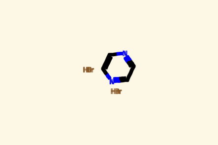 Br.Br.c1cnccn1